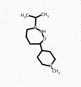 CC(C)N1CCCC(C2CCN(C)CC2)ON1